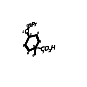 CCCO[C@H]1CC[C@](C)(C(=O)O)CC1